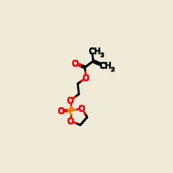 C=C(C)C(=O)OCCOP1(=O)OCCO1